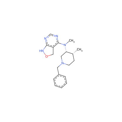 C[C@@H]1CCN(Cc2ccccc2)C[C@@H]1N(C)c1ncnc2c1CON2